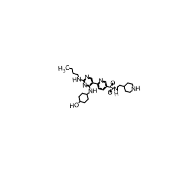 CCCCNc1ncc(-c2ccc(S(=O)(=O)NCC3CCNCC3)cn2)c(NC2CCC(O)CC2)n1